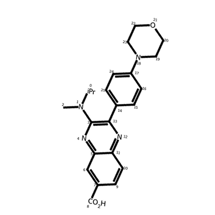 CC(C)N(C)c1nc2cc(C(=O)O)ccc2nc1-c1ccc(N2CCOCC2)cc1